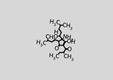 CCC(C)C(=O)C1=C(O)[C@@](N)(C(O)CCC(C)C)C(CCC(C)C)C1=O